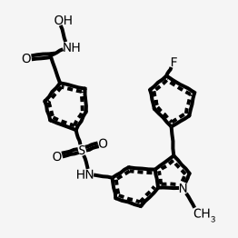 Cn1cc(-c2ccc(F)cc2)c2cc(NS(=O)(=O)c3ccc(C(=O)NO)cc3)ccc21